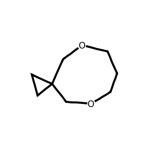 C1COCC2(CC2)COC1